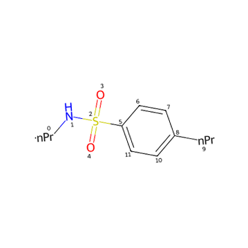 CC[CH]NS(=O)(=O)c1ccc(CCC)cc1